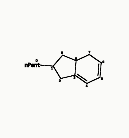 CCCCCC1CC2=CC=CCC2C1